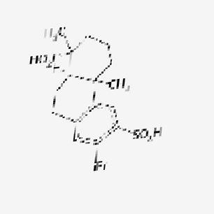 CC(C)c1cc2c(cc1S(=O)(=O)O)C1(C)CCCC(C)(C(=O)O)[C@@H]1CC2